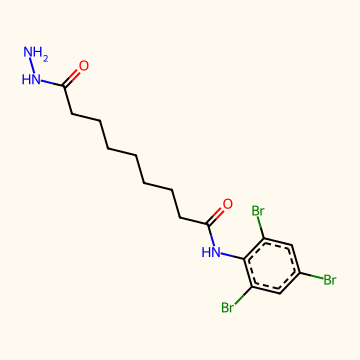 NNC(=O)CCCCCCCC(=O)Nc1c(Br)cc(Br)cc1Br